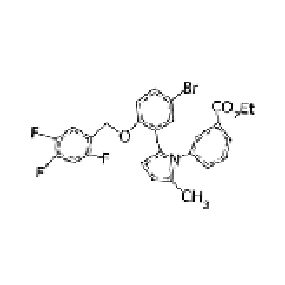 CCOC(=O)c1cccc(-n2c(C)ccc2-c2cc(Br)ccc2OCc2cc(F)c(F)cc2F)c1